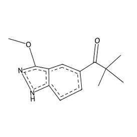 COc1n[nH]c2ccc(C(=O)C(C)(C)C)cc12